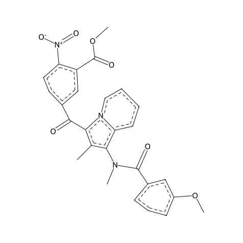 COC(=O)c1cc(C(=O)c2c(C)c(N(C)C(=O)c3cccc(OC)c3)c3ccccn23)ccc1[N+](=O)[O-]